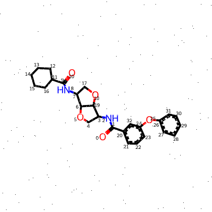 O=C(NC1COC2C(NC(=O)C3CCCCC3)COC12)c1cccc(Oc2ccccc2)c1